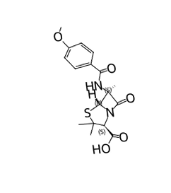 COc1ccc(C(=O)N[C@@]2(C)C(=O)N3[C@@H](C(=O)O)C(C)(C)S[C@@H]32)cc1